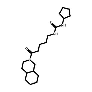 O=C(CCCCNC(=S)NC1CCCC1)N1CCC2CCCCC2C1